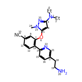 CCN(CC)c1cc(Oc2cc(C#N)ccc2-c2ccc(CCN)cn2)n(C)n1